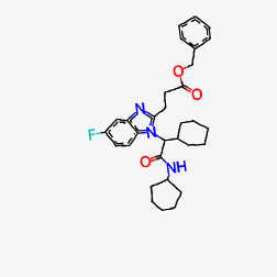 O=C(CCc1nc2cc(F)ccc2n1C(C(=O)NC1CCCCC1)C1CCCCC1)OCc1ccccc1